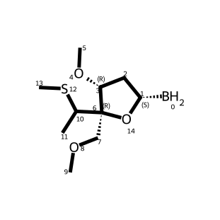 B[C@H]1C[C@@H](OC)[C@](COC)(C(C)SC)O1